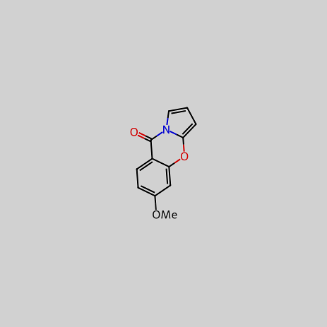 COc1ccc2c(=O)n3cccc3oc2c1